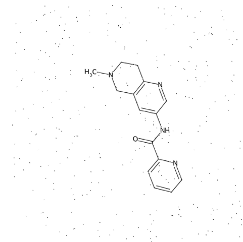 CN1CCc2ncc(NC(=O)c3ccccn3)cc2C1